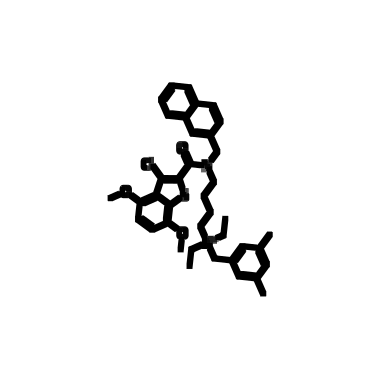 CC[N+](CC)(CCCCN(Cc1ccc2ccccc2c1)C(=O)c1sc2c(OC)ccc(OC)c2c1Cl)Cc1cc(C)cc(C)c1